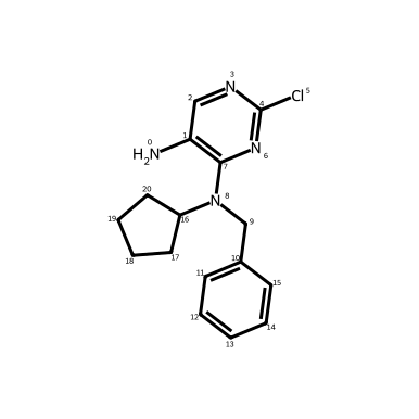 Nc1cnc(Cl)nc1N(Cc1ccccc1)C1CCCC1